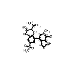 CC(C)C1Oc2c(cc(S(C)(=O)=O)cc2-c2cn(C)c(=O)c3[nH]ccc23)NC1O